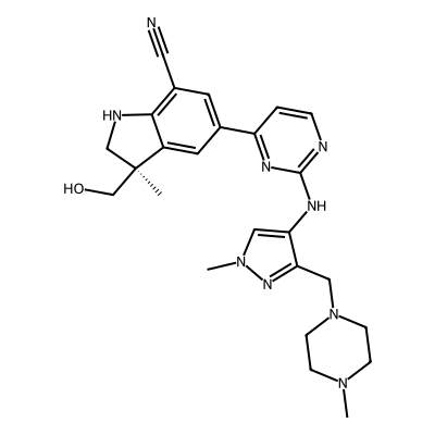 CN1CCN(Cc2nn(C)cc2Nc2nccc(-c3cc(C#N)c4c(c3)[C@@](C)(CO)CN4)n2)CC1